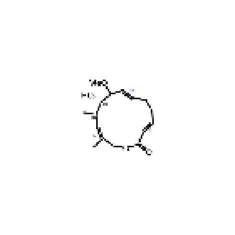 COC1/C=C/CC/C=C/C(=O)OC/C(C)=C\[C@@H](C)[C@@H]1O